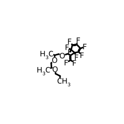 CCCOC(C)COC(C)COCC(=C(F)F)C1(F)C(F)=C(F)C(F)=C(F)C1(F)F